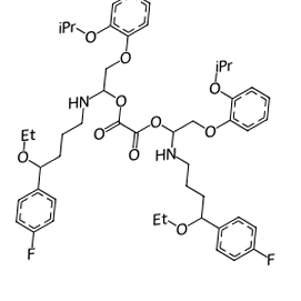 CCOC(CCCNC(COc1ccccc1OC(C)C)OC(=O)C(=O)OC(COc1ccccc1OC(C)C)NCCCC(OCC)c1ccc(F)cc1)c1ccc(F)cc1